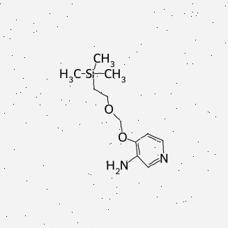 C[Si](C)(C)CCOCOc1ccncc1N